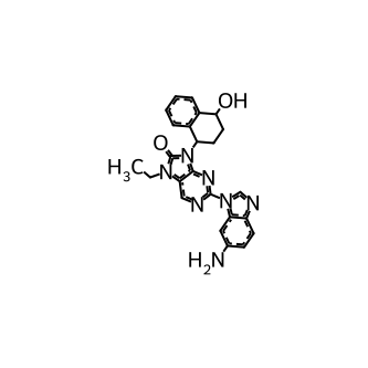 CCn1c(=O)n(C2CCC(O)c3ccccc32)c2nc(-n3cnc4ccc(N)cc43)ncc21